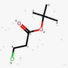 CC(C)(C)OC(=O)CCCl